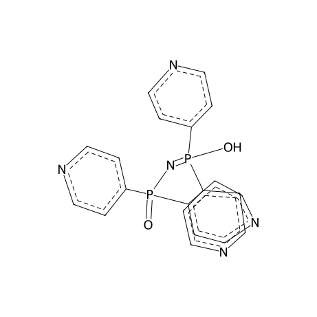 O=P(N=P(O)(c1ccncc1)c1ccncc1)(c1ccncc1)c1ccncc1